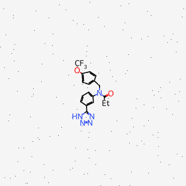 CCC(=O)N(Cc1ccc(OC(F)(F)F)cc1)c1cccc(-c2nnn[nH]2)c1